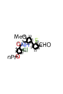 CCCOc1ccc(C(=O)NCc2cc(-c3cccc(C=O)c3F)ccc2OC)c(Cl)c1